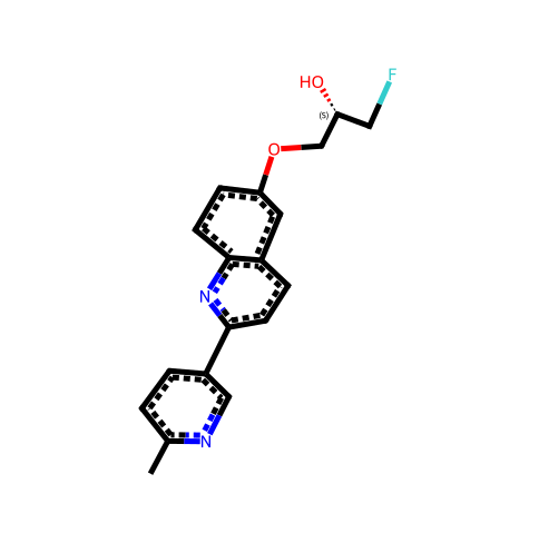 Cc1ccc(-c2ccc3cc(OC[C@H](O)CF)ccc3n2)cn1